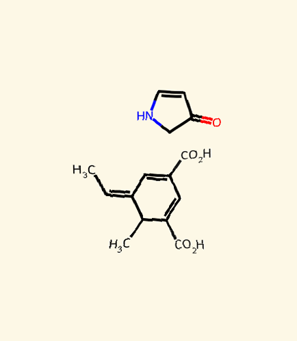 CC=C1C=C(C(=O)O)C=C(C(=O)O)C1C.O=C1C=CNC1